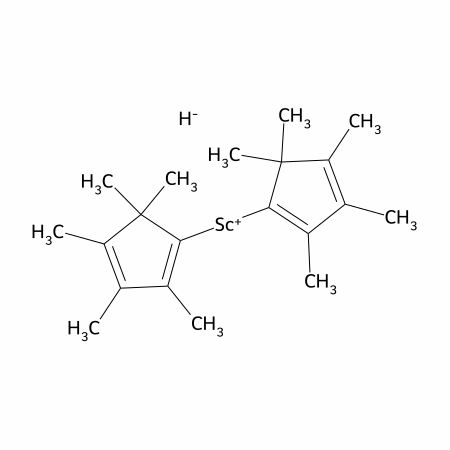 CC1=C(C)C(C)(C)[C]([Sc+][C]2=C(C)C(C)=C(C)C2(C)C)=C1C.[H-]